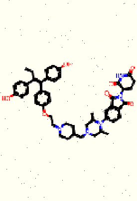 CCC(=C(c1ccc(O)cc1)c1ccc(OCCN2CCC(CN3CC(C)N(c4ccc5c(c4)C(=O)N(C4CCC(=O)NC4=O)C5=O)C(C)C3)CC2)cc1)c1ccc(O)cc1